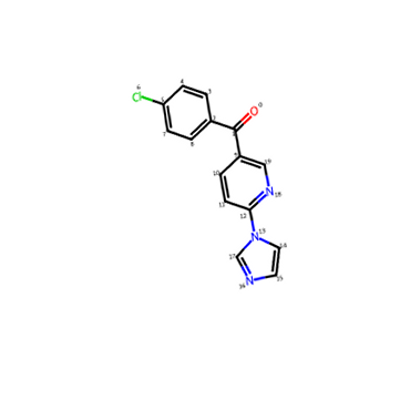 O=C(c1ccc(Cl)cc1)c1ccc(-n2ccnc2)nc1